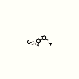 Cc1c(F)cc(C(=O)NC2CC2)cc1-c1ccc2c(c1)c(C)nn2S(=O)(=O)c1cccs1